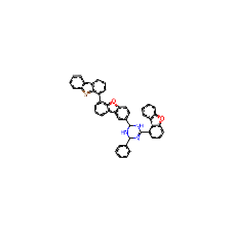 c1ccc(C2N=C(c3cccc4oc5ccccc5c34)NC(c3ccc4oc5c(-c6cccc7c6sc6ccccc67)cccc5c4c3)N2)cc1